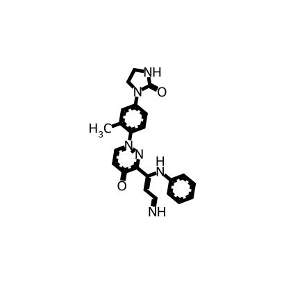 Cc1cc(N2CCNC2=O)ccc1-n1ccc(=O)c(/C(=C/C=N)Nc2ccccc2)n1